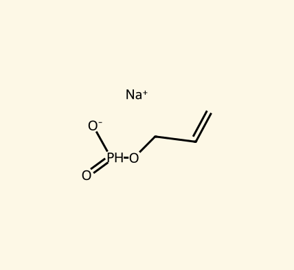 C=CCO[PH](=O)[O-].[Na+]